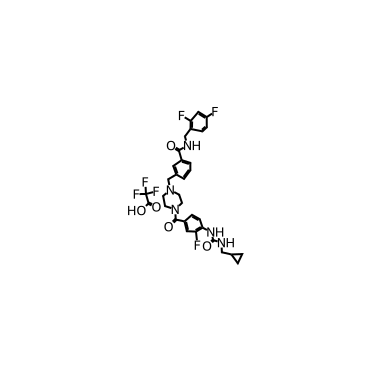 O=C(NCC1CC1)Nc1ccc(C(=O)N2CCN(Cc3cccc(C(=O)NCc4ccc(F)cc4F)c3)CC2)cc1F.O=C(O)C(F)(F)F